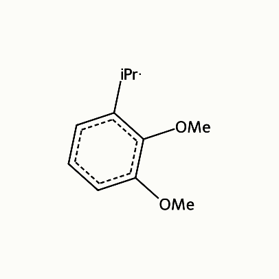 COc1cccc([C](C)C)c1OC